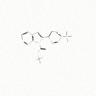 CC(C)(C)OC(=O)n1c(-c2ccc(C(F)(F)F)cc2)cc2ccncc21